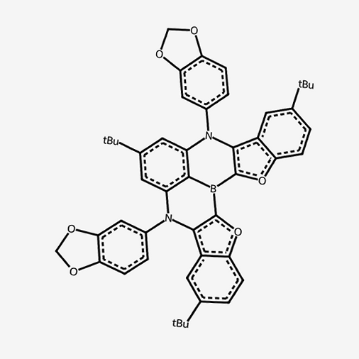 CC(C)(C)c1cc2c3c(c1)N(c1ccc4c(c1)OCO4)c1c(oc4ccc(C(C)(C)C)cc14)B3c1oc3ccc(C(C)(C)C)cc3c1N2c1ccc2c(c1)OCO2